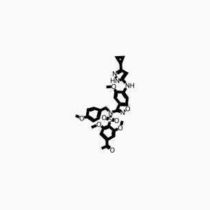 COc1ccc(CN(c2noc3cc(Nc4cc(C5CC5)n[nH]4)c(OC)cc23)S(=O)(=O)c2c(OC)cc(C(C)=O)cc2OC)cc1